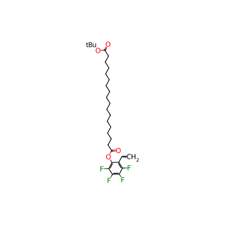 C=Cc1c(F)c(F)c(F)c(F)c1OC(=O)CCCCCCCCCCCCCCCCC(=O)OC(C)(C)C